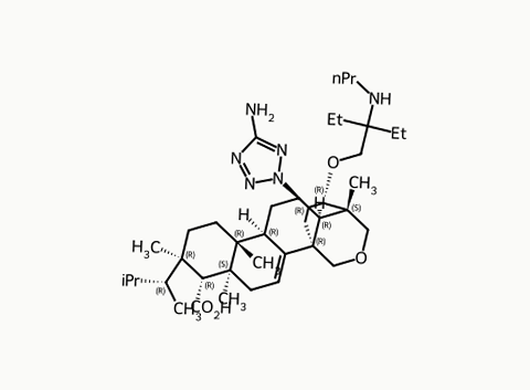 CCCNC(CC)(CC)CO[C@H]1[C@H](n2nnc(N)n2)C[C@@]23COC[C@]1(C)[C@@H]2CC[C@H]1C3=CC[C@@]2(C)[C@H](C(=O)O)[C@@](C)([C@H](C)C(C)C)CC[C@]12C